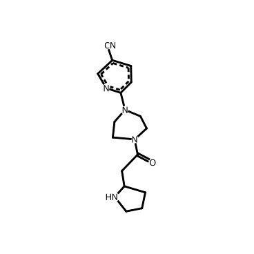 N#Cc1ccc(N2CCN(C(=O)CC3CCCN3)CC2)nc1